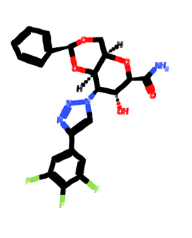 NC(=O)[C@@H]1O[C@@H]2CO[C@H](c3ccccc3)O[C@@H]2[C@H](n2cc(-c3cc(F)c(F)c(F)c3)nn2)[C@H]1O